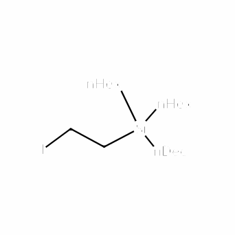 CCCCCCCCCC[Si](CCI)(CCCCCC)CCCCCC